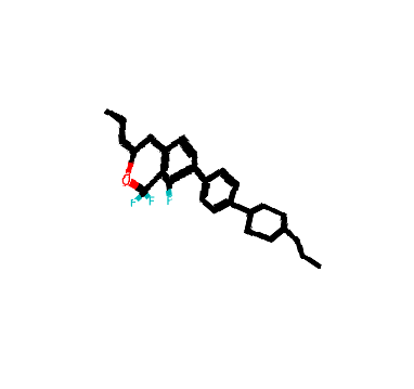 CCCC1CCC(c2ccc(-c3ccc4c(c3F)C(F)(F)OC(CCC)C4)cc2)CC1